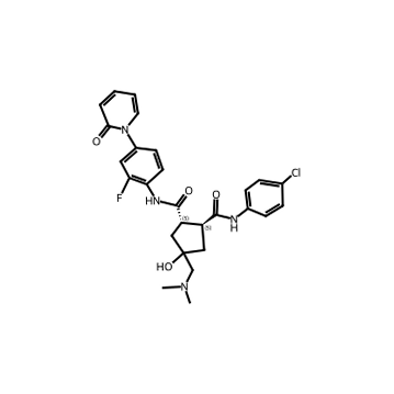 CN(C)CC1(O)C[C@H](C(=O)Nc2ccc(Cl)cc2)[C@@H](C(=O)Nc2ccc(-n3ccccc3=O)cc2F)C1